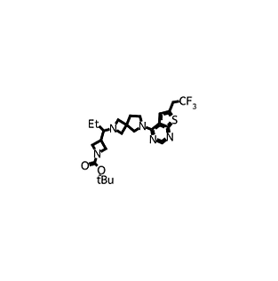 CCC(C1CN(C(=O)OC(C)(C)C)C1)N1CC2(CCN(c3ncnc4sc(CC(F)(F)F)cc34)C2)C1